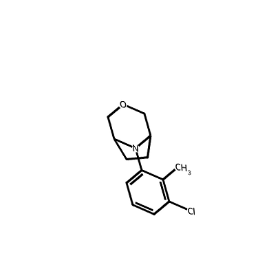 Cc1c(Cl)cccc1N1C2CCC1COC2